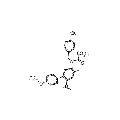 Cc1cc(N(C)C)c(-c2ccc(OC(F)(F)F)cc2)cc1N(Cc1ccc(C(C)(C)C)cc1)C(=O)C(=O)O